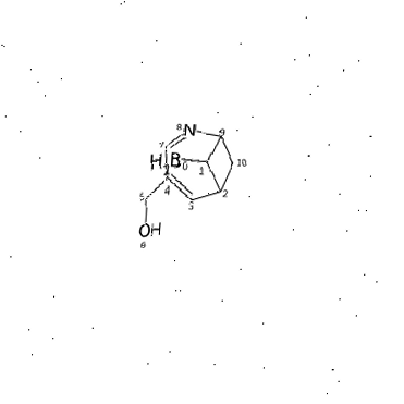 BC1C2C=C(CO)C=NC1C2